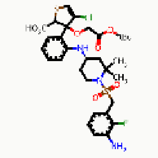 CC(C)(C)OC(=O)COC1(c2ccccc2N[C@@H]2CCN(S(=O)(=O)Cc3cccc(N)c3F)C(C)(C)C2)C(Cl)=CSC1C(=O)O